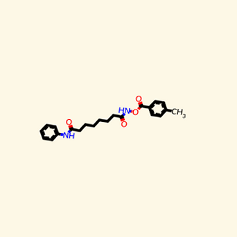 Cc1ccc(C(=O)ONC(=O)CCCCCCC(=O)Nc2ccccc2)cc1